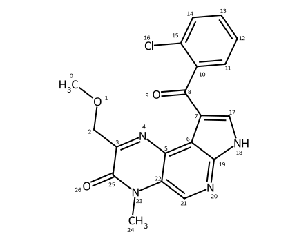 COCc1nc2c3c(C(=O)c4ccccc4Cl)c[nH]c3ncc2n(C)c1=O